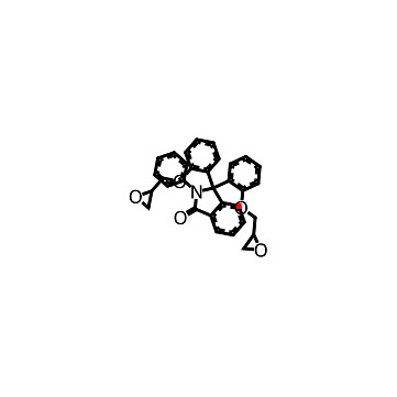 O=C1c2ccccc2C(c2ccccc2OCC2CO2)(c2ccccc2OCC2CO2)N1c1ccccc1